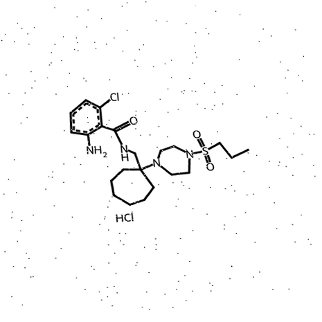 CCCS(=O)(=O)N1CCN(C2(CNC(=O)c3c(N)cccc3Cl)CCCCCC2)CC1.Cl